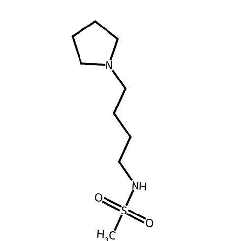 CS(=O)(=O)NCCCCN1CCCC1